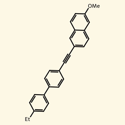 CCc1ccc(-c2ccc(C#Cc3ccc4cc(OC)ccc4c3)cc2)cc1